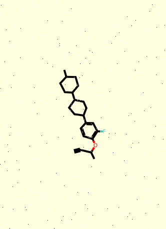 C#CC(C)Oc1ccc(C2CCC(C3CCC(C)CC3)CC2)cc1F